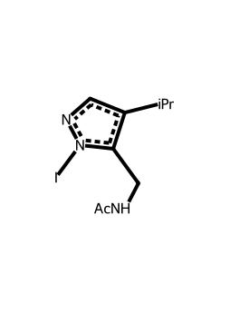 CC(=O)NCc1c(C(C)C)cnn1I